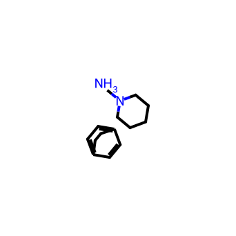 CN1CCCCC1.N.c1cc2ccc1CC2